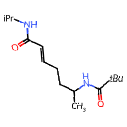 CC(C)NC(=O)/C=C/CCC(C)NC(=O)C(C)(C)C